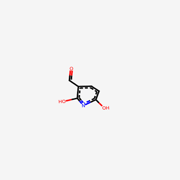 O=Cc1ccc(O)nc1O